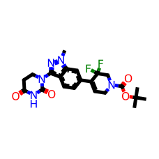 Cn1nc(N2CCC(=O)NC2=O)c2ccc(C3=CCN(C(=O)OC(C)(C)C)CC3(F)F)cc21